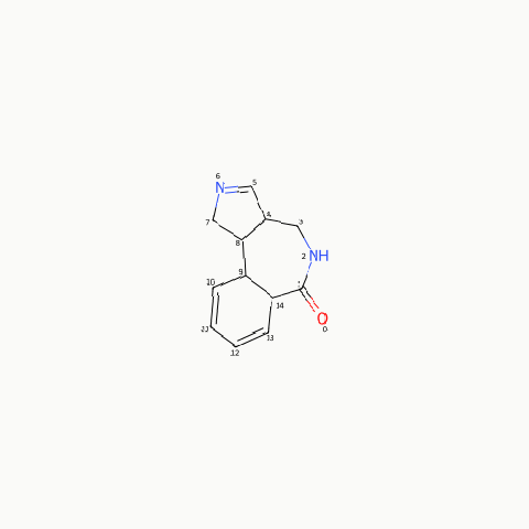 O=C1NCC2C=NCC2C2C=CC=CC12